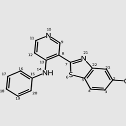 COc1ccc2sc(-c3cnccc3Nc3ccccc3)nc2c1